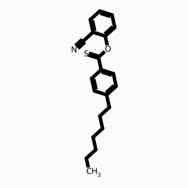 CCCCCCCc1ccc(C(=S)Oc2ccccc2C#N)cc1